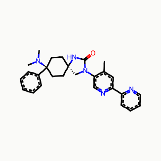 Cc1cc(-c2ccccn2)ncc1N1C[C@]2(CC[C@](c3ccccc3)(N(C)C)CC2)NC1=O